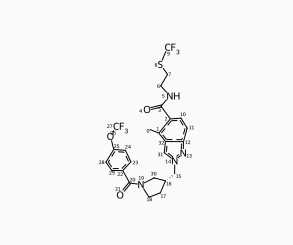 Cc1c(C(=O)NCCSC(F)(F)F)ccc2nn(C[C@@H]3CCN(C(=O)c4ccc(OC(F)(F)F)cc4)C3)cc12